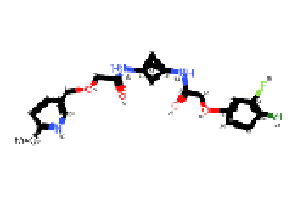 COc1ccc(COCC(=O)NC23CC(NC(=O)COc4ccc(Cl)c(F)c4)(C2)C3)cn1